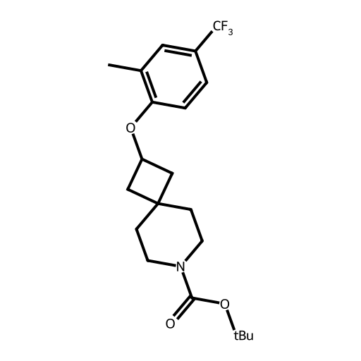 Cc1cc(C(F)(F)F)ccc1OC1CC2(CCN(C(=O)OC(C)(C)C)CC2)C1